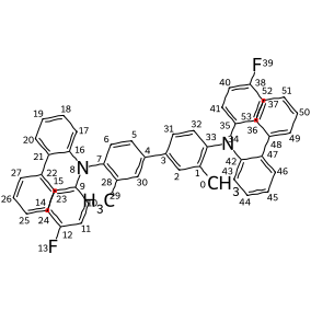 Cc1cc(-c2ccc(N(c3ccc(F)cc3)c3ccccc3-c3ccccc3)c(C)c2)ccc1N(c1ccc(F)cc1)c1ccccc1-c1ccccc1